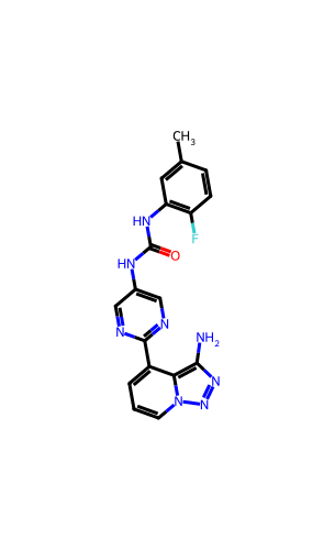 Cc1ccc(F)c(NC(=O)Nc2cnc(-c3cccn4nnc(N)c34)nc2)c1